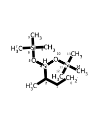 [CH2]CC(C)[SiH](O[Si](C)(C)C)O[Si](C)(C)C